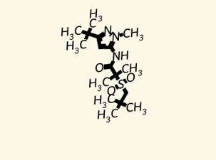 Cn1nc(C(C)(C)C)cc1NC(=O)C(C)(C)S(=O)(=O)CC(C)(C)C